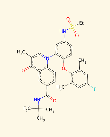 CCS(=O)(=O)Nc1ccc(Oc2c(C)cc(F)cc2C)c(-n2cc(C)c(=O)c3cc(C(=O)NC(C)(C)C(F)(F)F)ccc32)c1